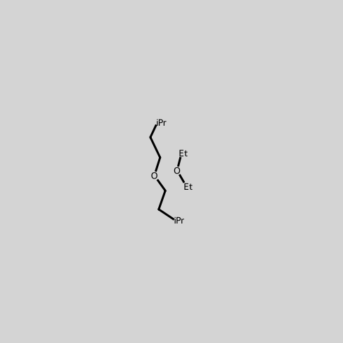 CC(C)CCOCCC(C)C.CCOCC